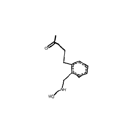 CC(=O)CCc1ccccc1CNO